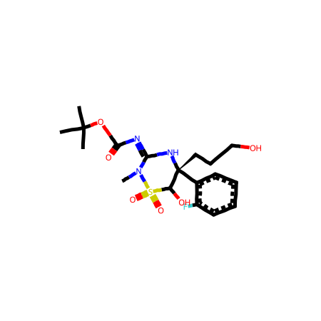 CN1/C(=N\C(=O)OC(C)(C)C)N[C@](CCCO)(c2ccccc2F)C(O)S1(=O)=O